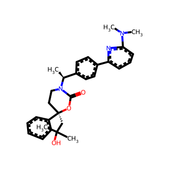 C[C@@H](c1ccc(-c2cccc(N(C)C)n2)cc1)N1CC[C@](CC(C)(C)O)(c2ccccc2)OC1=O